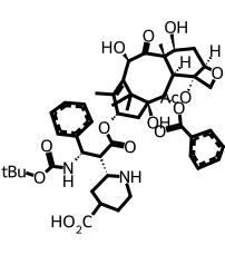 CC(=O)O[C@@]12CO[C@@H]1C[C@H](O)[C@@]1(C)C(=O)[C@H](O)C3=C(C)[C@@H](OC(=O)C([C@H](NC(=O)OC(C)(C)C)c4ccccc4)[C@H]4CC(C(=O)O)CCN4)C[C@@](O)([C@@H](OC(=O)c4ccccc4)[C@H]21)C3(C)C